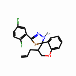 C=CCC1COc2ccccc2C12SC(c1cc(F)ccc1F)=NN2C(C)=O